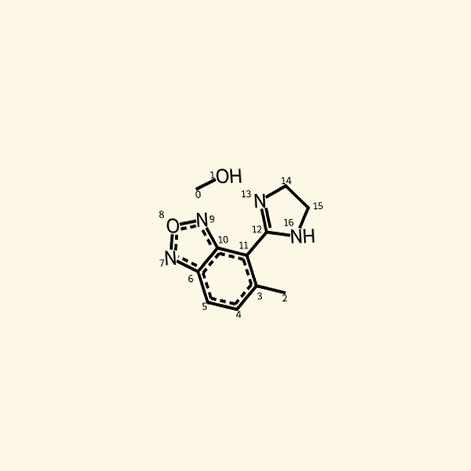 CO.Cc1ccc2nonc2c1C1=NCCN1